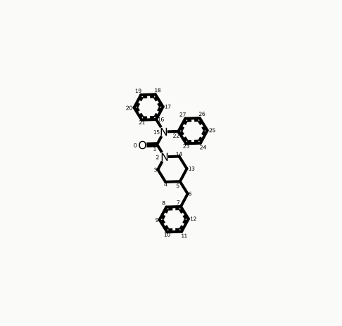 O=C(N1CCC(Cc2ccccc2)CC1)N(c1ccccc1)c1ccccc1